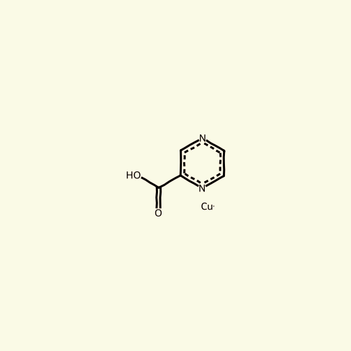 O=C(O)c1cnccn1.[Cu]